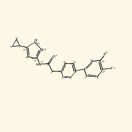 O=C(Cc1ccc(-c2ccc(F)c(F)c2)cc1)Nc1cc(C2CC2)[nH]n1